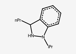 CCCC1NN(C(C)C)c2ccccc21